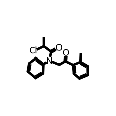 Cc1ccccc1C(=O)CN(C(=O)C(C)Cl)c1ccccc1